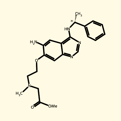 COC(=O)CN(C)CCOc1cc2ncnc(N[C@H](C)c3ccccc3)c2cc1N